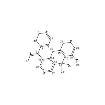 C/C=C(/C1=CC=CCC1)c1cccc2c1CC1=C(C(F)=CCC1)C2(C)C